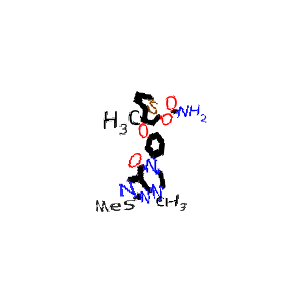 CSc1ncc2c(n1)N(C)CCN(c1cccc(OC(C)(CCOC(N)=O)c3cccs3)c1)C2=O